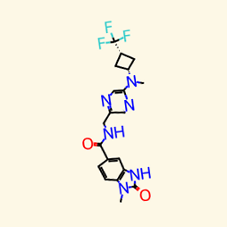 Cn1c(=O)[nH]c2cc(C(=O)NCc3cnc(N(C)[C@H]4C[C@@H](C(F)(F)F)C4)cn3)ccc21